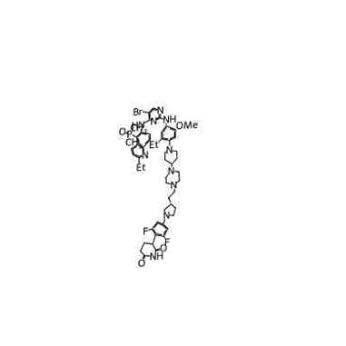 CCc1ccc2c(P(C)(C)=O)c(Nc3nc(Nc4cc(CC)c(N5CCC(N6CCN(CC[C@H]7CCN(c8cc(F)c(C9CCC(=O)NC9=O)c(F)c8)C7)CC6)CC5)cc4OC)ncc3Br)ccc2n1